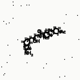 CC(=O)N1CCC(Nc2cc(C(=O)NC[C@H](O)CN3CCc4sc(N)nc4C3)ncn2)CC1